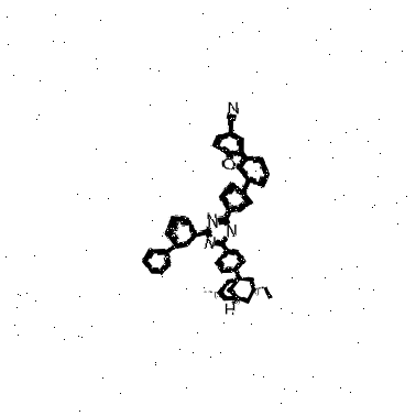 CC[C@@H]1C[C@@H]2C[C@H](C)CC(c3ccc(-c4nc(-c5ccc(-c6cccc7c6oc6ccc(C#N)cc67)cc5)nc(-c5cccc(-c6ccccc6)c5)n4)cc3)(C1)C2